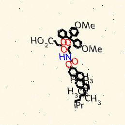 COc1ccc(C(OCC(CNC(=O)O[C@H]2CC[C@@]3(C)C(=CC[C@H]4[C@@H]5CC[C@H]([C@H](C)CCCC(C)C)[C@@]5(C)CC[C@@H]43)C2)OC(=O)CCC(=O)O)(c2ccccc2)c2ccc(OC)cc2)cc1